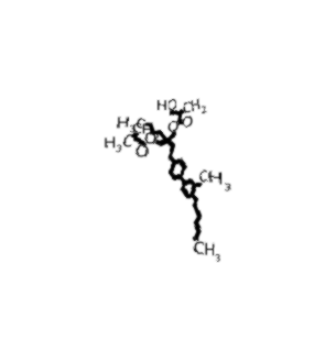 C=C(C)C(=O)OCC(CCCC)(CCc1ccc(-c2ccc(CCCCCCC)c(CC)c2)cc1)COC(=O)C(=C)CO